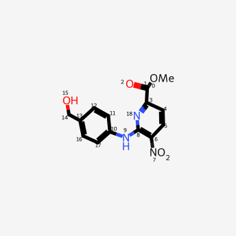 COC(=O)c1ccc([N+](=O)[O-])c(Nc2ccc(CO)cc2)n1